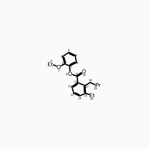 CCOc1ccccc1OC(=O)c1cccc(CC)c1CC(C)C